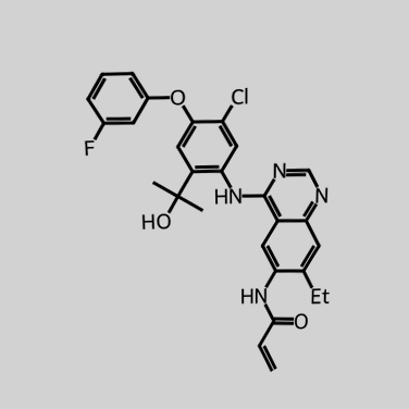 C=CC(=O)Nc1cc2c(Nc3cc(Cl)c(Oc4cccc(F)c4)cc3C(C)(C)O)ncnc2cc1CC